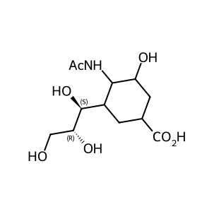 CC(=O)NC1C(O)CC(C(=O)O)CC1[C@H](O)[C@H](O)CO